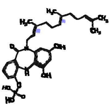 CC(C)=CCC/C(C)=C/CC/C(C)=C/CN1C(=O)c2cccc(OP(=O)(O)O)c2Nc2c(O)cc(O)cc21